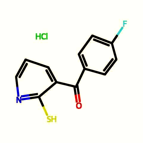 Cl.O=C(c1ccc(F)cc1)c1cccnc1S